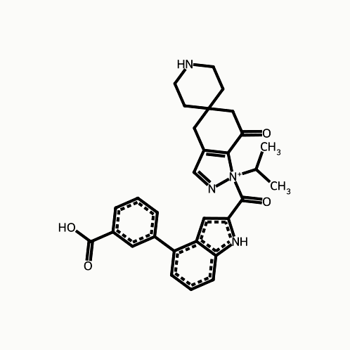 CC(C)[N+]1(C(=O)c2cc3c(-c4cccc(C(=O)O)c4)cccc3[nH]2)N=CC2=C1C(=O)CC1(CCNCC1)C2